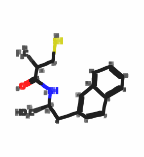 O=C(N[C@@H](Cc1ccc2ccccc2c1)C(=O)O)C(CS)C(F)(F)F